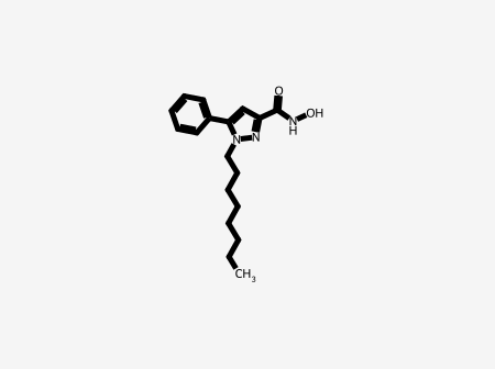 CCCCCCCCn1nc(C(=O)NO)cc1-c1ccccc1